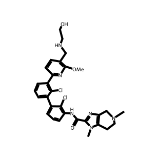 COc1nc(-c2cccc(-c3cccc(NC(=O)c4nc5c(n4C)CCN(C)C5)c3Cl)c2Cl)ccc1CNCCO